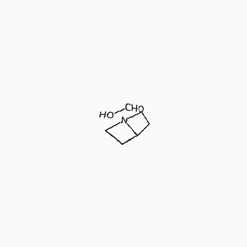 C1CN2CCC12.O=CO